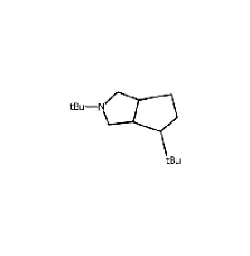 CC(C)(C)C1CCC2CN(C(C)(C)C)CC21